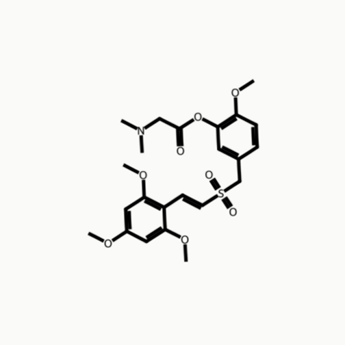 COc1cc(OC)c(C=CS(=O)(=O)Cc2ccc(OC)c(OC(=O)CN(C)C)c2)c(OC)c1